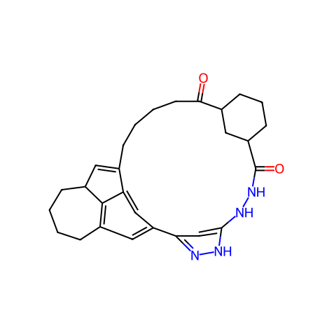 O=C1CCCCC2=CC3CCCCc4cc(cc2c43)-c2cc([nH]n2)NNC(=O)C2CCCC1C2